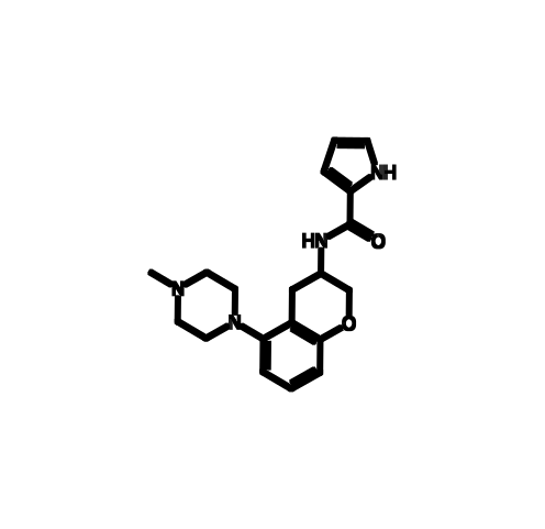 CN1CCN(c2cccc3c2CC(NC(=O)c2ccc[nH]2)CO3)CC1